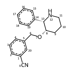 N#Cc1cccc(CO[C@H]2CCCN[C@H]2c2ccccc2)c1